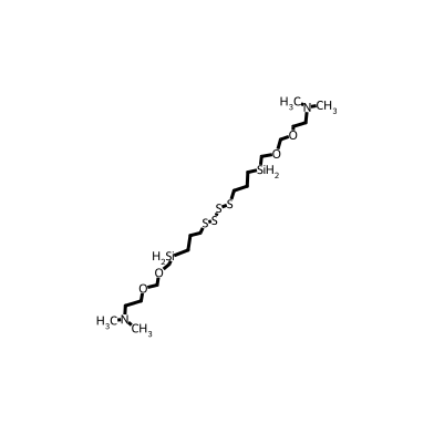 CN(C)CCOCOC[SiH2]CCCSSSSCCC[SiH2]COCOCCN(C)C